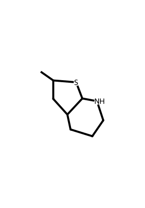 CC1CC2CCCNC2S1